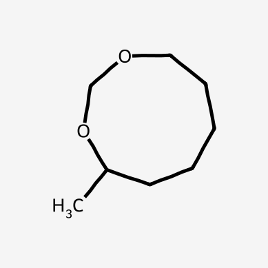 CC1CCCCCOCO1